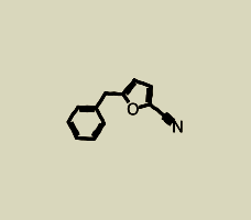 N#Cc1ccc(Cc2ccccc2)o1